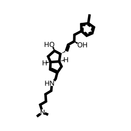 Cc1cccc(C[C@@H](O)/C=C/[C@@H]2[C@H]3CC(CNCCCCN(C)C)=C[C@H]3C[C@H]2O)c1